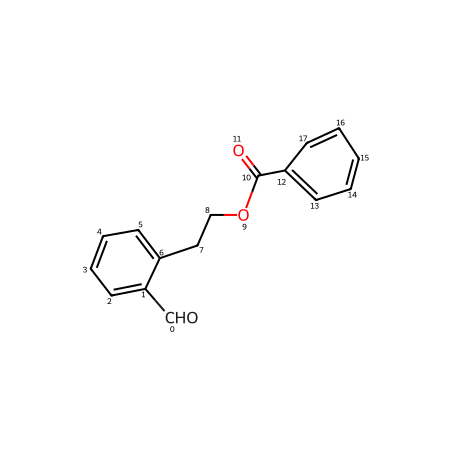 O=Cc1ccccc1CCOC(=O)c1ccccc1